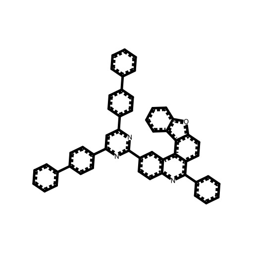 c1ccc(-c2ccc(-c3cc(-c4ccc(-c5ccccc5)cc4)nc(-c4ccc5nc(-c6ccccc6)c6ccc7oc8ccccc8c7c6c5c4)n3)cc2)cc1